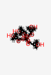 CC(C)(C)c1cc(CCC(=O)OCC(COCCC(=O)c2cc(C(C)(C)C)c(O)c(C(C)(C)C)c2)(COCCC(=O)c2cc(C(C)(C)C)c(O)c(C(C)(C)C)c2)COC(=O)CCc2cc(C(C)(C)C)c(O)c(C(C)(C)C)c2)cc(C(C)(C)C)c1O